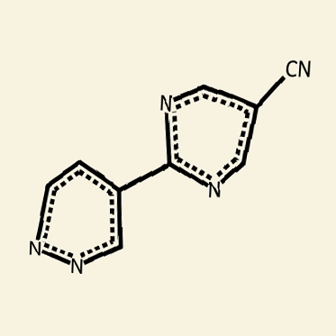 N#Cc1cnc(-c2ccnnc2)nc1